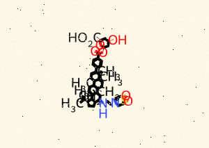 C=C(C)[C@@H]1CCC2C(NCCN3CCS(=O)(=O)CC3)C[C@]3(C)[C@H](CCC4[C@@]5(C)CC=C(c6ccc(C(=O)O[C@H]7C[C@@H](O)C[C@@H](C(=O)O)O7)cc6)C(C)(C)C5CC[C@]43C)C21